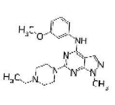 CCN1CCN(c2nc(Nc3cccc(OC)c3)c3cnn(C)c3n2)CC1